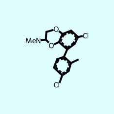 CNC1COc2cc(Cl)cc(-c3ccc(Cl)cc3C)c2O1